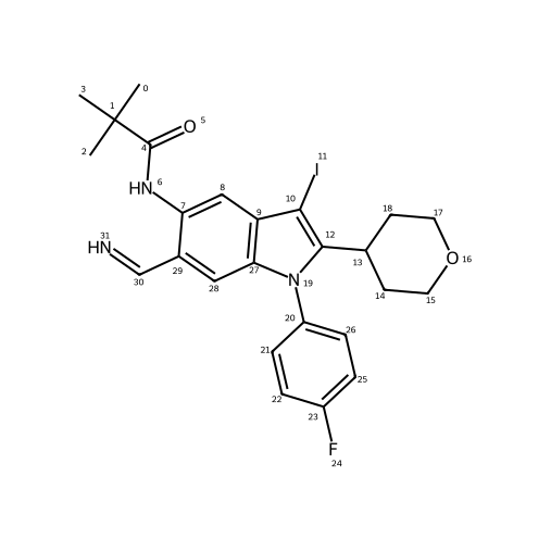 CC(C)(C)C(=O)Nc1cc2c(I)c(C3CCOCC3)n(-c3ccc(F)cc3)c2cc1C=N